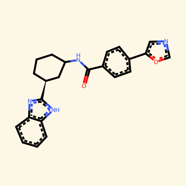 O=C(NC1CCC[C@H](c2nc3ccccc3[nH]2)C1)c1ccc(-c2cnco2)cc1